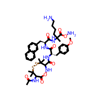 COc1ccc(C[C@H](NC(=O)C2NOC(=O)C(NC(C)=O)C(C)(C)SSC2(C)C)C(=O)N[C@@H](Cc2ccc3ccccc3c2)C(=O)NC(C)(CCCCN)C(=O)ON)cc1